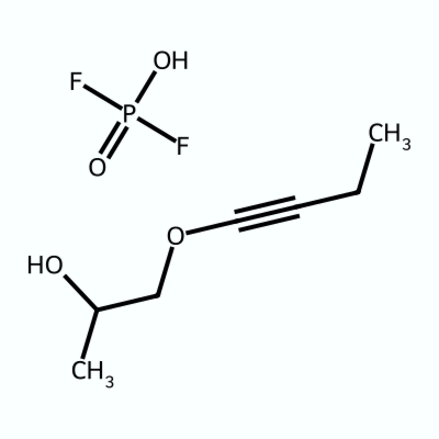 CCC#COCC(C)O.O=P(O)(F)F